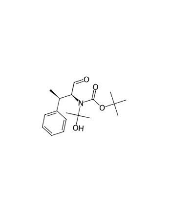 C[C@H](c1ccccc1)[C@@H](C=O)N(C(=O)OC(C)(C)C)C(C)(C)O